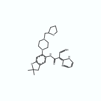 CC1(C)Cc2cc(NC(=O)/C(C=N)=C3\N=CC=CN3)c(N3CCN(CC4CCCO4)CC3)cc2O1